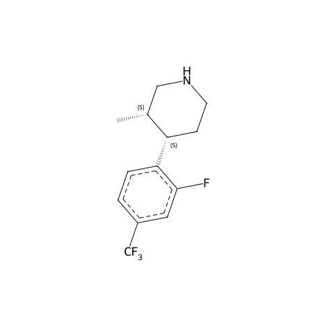 C[C@@H]1CNCC[C@@H]1c1ccc(C(F)(F)F)cc1F